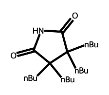 CCCCC1(CCCC)C(=O)NC(=O)C1(CCCC)CCCC